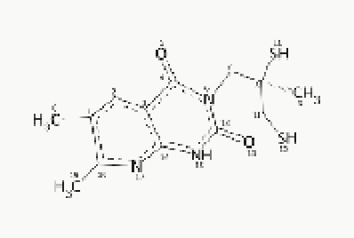 Cc1cc2c(=O)n(C[C@@](C)(S)CS)c(=O)[nH]c2nc1C